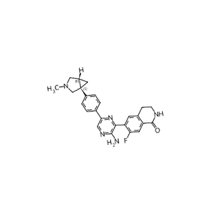 CN1C[C@@H]2C[C@]2(c2ccc(-c3cnc(N)c(-c4cc5c(cc4F)C(=O)NCC5)n3)cc2)C1